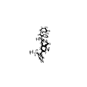 Cn1cncc1-c1cnc2cnc(NC(=O)CN3CCCCC3)cc2c1